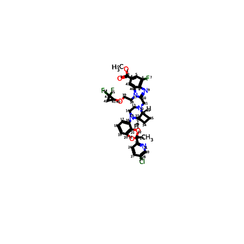 COC(=O)c1cc(F)c2nc(CN3CCN(c4cccc5c4OC(C)(c4ccc(Cl)cn4)O5)[C@@H]4CC[C@H]43)n(CCOC3CC3(F)F)c2c1